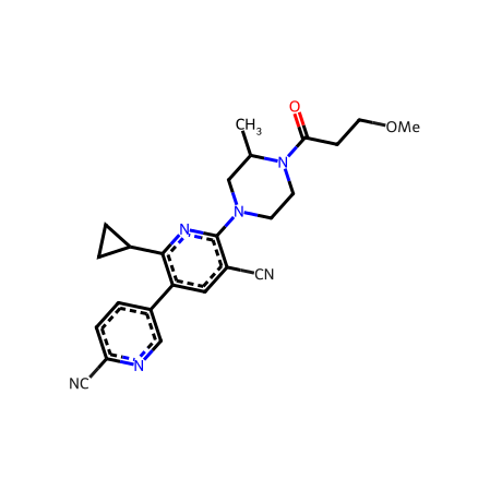 COCCC(=O)N1CCN(c2nc(C3CC3)c(-c3ccc(C#N)nc3)cc2C#N)CC1C